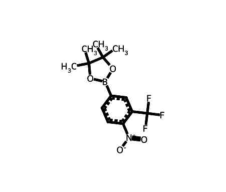 CC1(C)OB(c2ccc([N+](=O)[O-])c(C(F)(F)F)c2)OC1(C)C